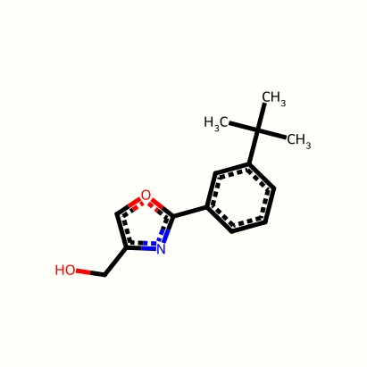 CC(C)(C)c1cccc(-c2nc(CO)co2)c1